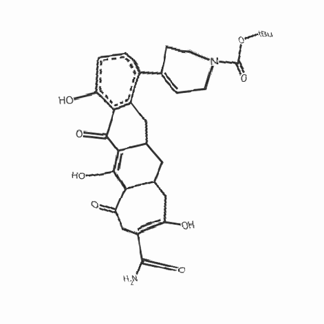 CC(C)(C)OC(=O)N1CC=C(c2ccc(O)c3c2CC2CC4CC(O)=C(C(N)=O)CC(=O)C4C(O)=C2C3=O)CC1